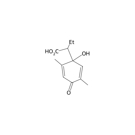 CCC(C(=O)O)C1(O)C=C(C)C(=O)C=C1C